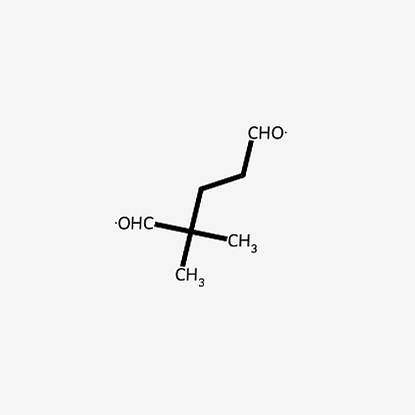 CC(C)([C]=O)CC[C]=O